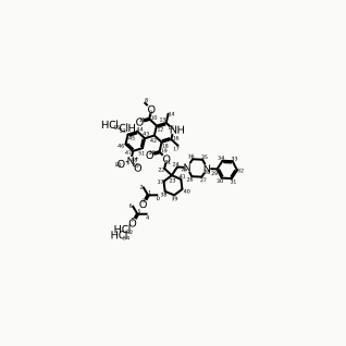 CC(C)=O.CC(C)=O.COC(=O)C1=C(C)NC(C)=C(C(=O)OCC2(CN3CCN(c4ccccc4)CC3)CCCCC2)C1c1cccc([N+](=O)[O-])c1.Cl.Cl.Cl.Cl